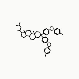 Cc1ccc(Oc2ccc(C3(c4ccc(Oc5ccc(C)cc5)cc4)CCC4(C)C(CCC5C4CCC4(C)C(C(C)CC(C)C)CCC54)C3)cc2)cc1